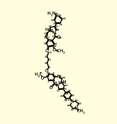 COc1cc2c(cc1OCCCCCOc1cc3c(cc1OC)C(=O)N1C=C(c4cccc(N)c4)C[C@H]1C=N3)N=C[C@@H]1CC(c3ccc(N4CCN(C)CC4)cc3)=CN1C2=O